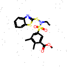 CCN(Sc1nc2ccccc2s1)S(=O)(=O)c1cc(C)c(C)c(C(=O)OC)c1